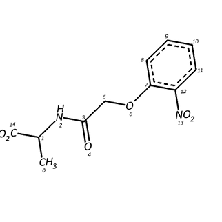 CC(NC(=O)COc1ccccc1[N+](=O)[O-])C(=O)O